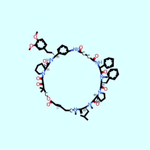 C=C1[C@H](CC(C)C)N(C)C(=O)[C@H]2CCCN2C(=O)[C@H](Cc2ccccc2)N(C)C(=O)C(c2ccccc2)NC(=O)CCC(=O)Nc2cccc(c2)[C@@H](CCc2ccc(OC)c(OC)c2)NC(=O)[C@@H]2CCCCN2C(=O)C(=O)C(C)(C)COC(=O)/C=C/CCN1C